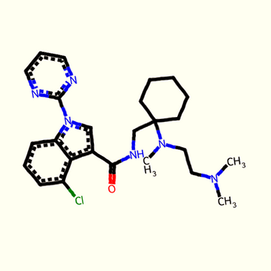 CN(C)CCN(C)C1(CNC(=O)c2cn(-c3ncccn3)c3cccc(Cl)c23)CCCCC1